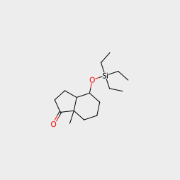 CC[Si](CC)(CC)OC1CCCC2(C)C(=O)CCC12